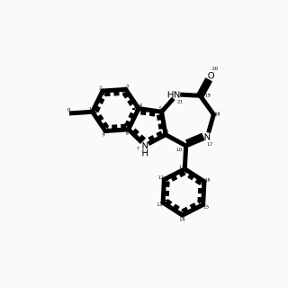 Cc1ccc2c3c([nH]c2c1)C(c1ccccc1)=NCC(=O)N3